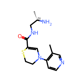 Cc1cnccc1N1C=C(C(=O)NC[C@H](C)N)SCC1